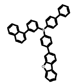 c1ccc(-c2ccc(N(c3ccc(-c4ccc5c(c4)oc4ccccc45)cc3)c3cccc(-c4cccc5ccccc45)c3)cc2)cc1